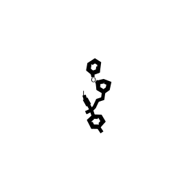 Cc1ccc(C(C)(C#CI)CCCc2cccc(Oc3ccccc3)c2)cc1